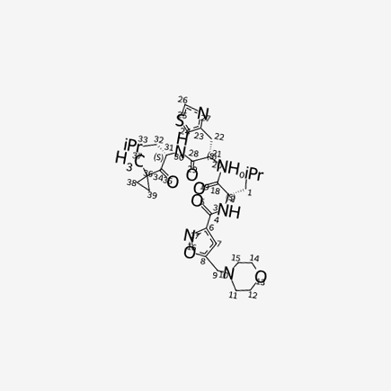 CC(C)C[C@H](NC(=O)c1cc(CN2CCOCC2)on1)C(=O)N[C@@H](Cc1cscn1)C(=O)N[C@@H](CC(C)C)C(=O)C1(C)CC1